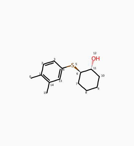 Cc1ccc(S[C@@H]2CCCC[C@H]2O)cc1C